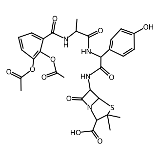 CC(=O)Oc1cccc(C(=O)NC(C)C(=O)NC(C(=O)NC2C(=O)N3C2SC(C)(C)C3C(=O)O)c2ccc(O)cc2)c1OC(C)=O